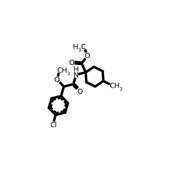 COC(=O)C1(NC(=O)C(OC)c2ccc(Cl)cc2)CCC(C)CC1